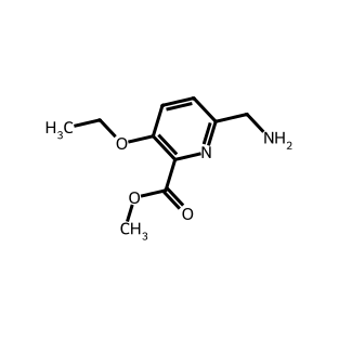 CCOc1ccc(CN)nc1C(=O)OC